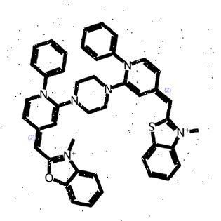 C[n+]1c(/C=C2/C=CN(c3ccccc3)C(N3CCN(C4=C/C(=C\c5sc6ccccc6[n+]5C)C=CN4c4ccccc4)CC3)=C2)oc2ccccc21